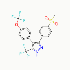 CS(=O)(=O)c1ccc(-c2n[nH]c(C(F)(F)F)c2-c2ccc(OC(F)(F)F)cc2)cc1